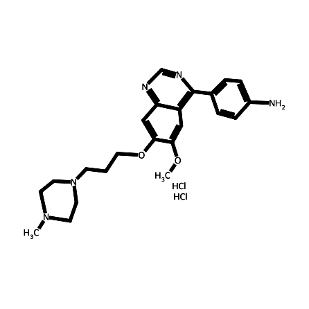 COc1cc2c(-c3ccc(N)cc3)ncnc2cc1OCCCN1CCN(C)CC1.Cl.Cl